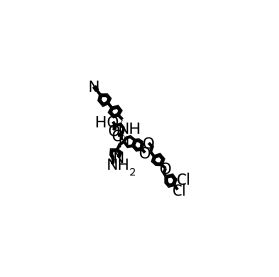 N#Cc1ccc(-c2ccc(C[C@H](NC(=O)[C@@H]3Cc4cc5c(cc4CN3Cc3ccc(N)nc3)OC(c3ccc(OCc4ccc(Cl)c(Cl)c4)cc3)CO5)C(=O)O)cc2)cc1